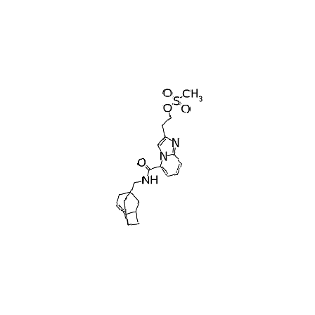 CS(=O)(=O)OCCc1cn2c(C(=O)NCC34CC=C5C(CC5C3)C4)cccc2n1